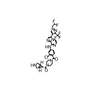 O=C(c1ccc(Nc2nccn3c(-c4cn(CC(F)F)nc4C(F)(F)F)cnc23)cc1Cl)N1CCN(C(=O)[C@@H]2[C@@H]3CNC[C@@H]32)CC1